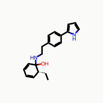 CC[C@@H]1C=CC=CC1(O)NCCc1ccc(-c2ccc[nH]2)cc1